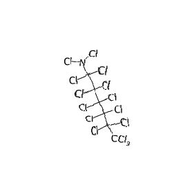 ClN(Cl)C(Cl)(Cl)C(Cl)(Cl)C(Cl)(Cl)C(Cl)(Cl)C(Cl)(Cl)C(Cl)(Cl)Cl